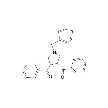 O=C(c1ccccc1)C1CN(Cc2ccccc2)CC1C(=O)c1ccccc1